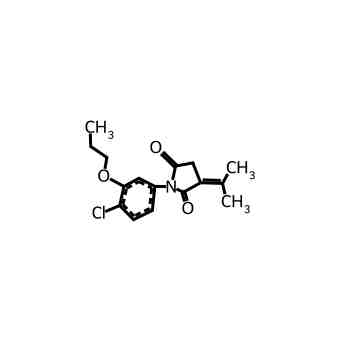 CCCOc1cc(N2C(=O)CC(=C(C)C)C2=O)ccc1Cl